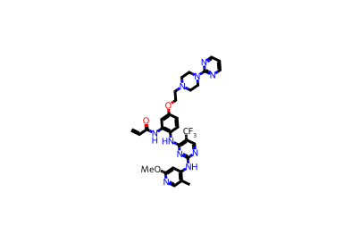 C=CC(=O)Nc1cc(OCCN2CCN(c3ncccn3)CC2)ccc1Nc1nc(Nc2cc(OC)ncc2C)ncc1C(F)(F)F